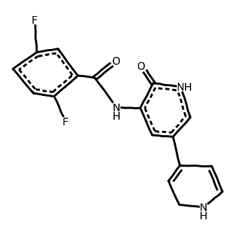 O=C(Nc1cc(C2=CCNC=C2)c[nH]c1=O)c1cc(F)ccc1F